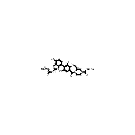 Cc1c2c(cc(Cl)c1-c1ccc(F)c3sc(NC(=O)OC(C)(C)C)nc13)C(=O)N1CCN(C(=O)OC(C)(C)C)CC1CO2